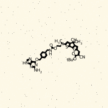 CN(CCOC(=O)NCc1ccc(COc2nc(N)nc3[nH]cnc23)cc1)c1cc2c(s1)-c1sc(/C=C(/C#N)C(=O)OC(C)(C)C)cc1C2(C)C